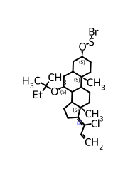 C=C/C(Cl)=C1\CCC2C3C(CC[C@]12C)[C@@]1(C)CC[C@H](OSBr)CC1C[C@@H]3OC(C)(C)CC